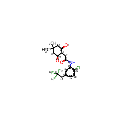 CC1(C)CC(=O)C(CC(=O)Nc2cc(CC(F)(F)F)ccc2Cl)C(=O)C1